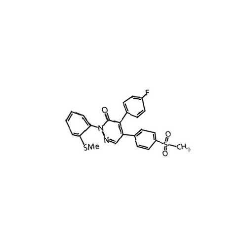 CSc1ccccc1-n1ncc(-c2ccc(S(C)(=O)=O)cc2)c(-c2ccc(F)cc2)c1=O